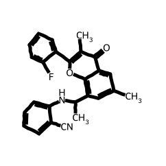 Cc1cc(C(C)Nc2ccccc2C#N)c2oc(-c3ccccc3F)c(C)c(=O)c2c1